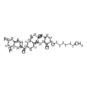 CCCCCCCOc1ccc(F)c(CN2C(=O)CSc3cc(C(=O)NCc4c(F)cc(F)cc4F)ccc32)c1Cl